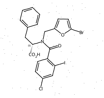 O=C(O)[C@H](Cc1ccccc1)N(Cc1ccc(Br)o1)C(=O)c1ccc(Cl)cc1I